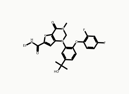 CCNC(=O)c1cc2c(s1)C(=O)N(C)CN2c1cc(C(C)(C)O)ccc1Oc1ccc(F)cc1F